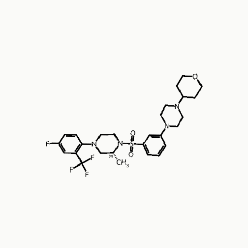 C[C@@H]1CN(c2ccc(F)cc2C(F)(F)F)CCN1S(=O)(=O)c1cccc(N2CCN(C3CCOCC3)CC2)c1